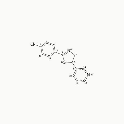 Clc1ccc(C2=NCC(c3cccnc3)S2)cc1